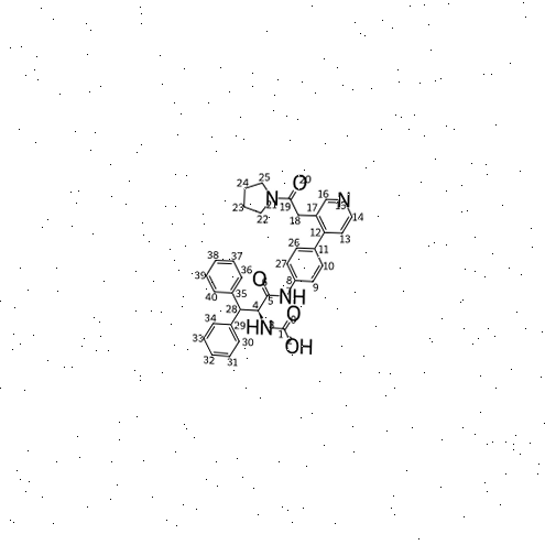 O=C(O)N[C@H](C(=O)Nc1ccc(-c2ccncc2CC(=O)N2CCCC2)cc1)C(c1ccccc1)c1ccccc1